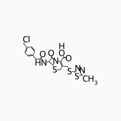 Cc1nnc(SCC2=C(C(=O)O)N3C(=O)C(NC(=O)Cc4ccc(CCl)cc4)C3SC2)s1